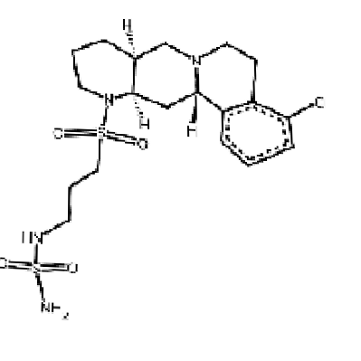 NS(=O)(=O)NCCCS(=O)(=O)N1CCC[C@H]2CN3CCc4c(Cl)cccc4[C@@H]3C[C@H]21